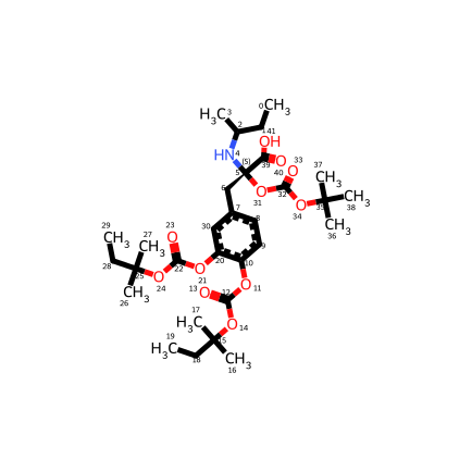 CCC(C)N[C@@](Cc1ccc(OC(=O)OC(C)(C)CC)c(OC(=O)OC(C)(C)CC)c1)(OC(=O)OC(C)(C)C)C(=O)O